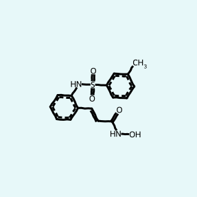 Cc1cccc(S(=O)(=O)Nc2ccccc2/C=C/C(=O)NO)c1